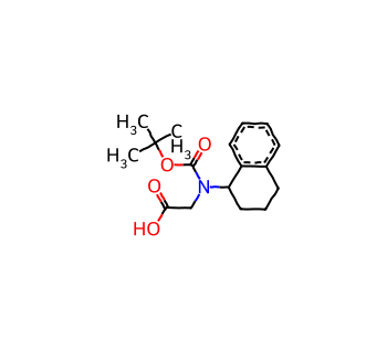 CC(C)(C)OC(=O)N(CC(=O)O)C1CCCc2ccccc21